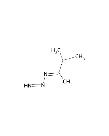 C/C(=N\N=N)C(C)C